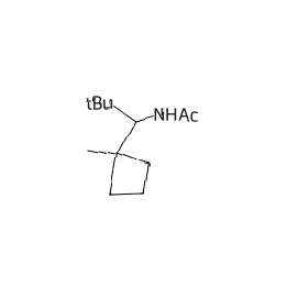 CC(=O)NC(C(C)(C)C)C1(C)CCC1